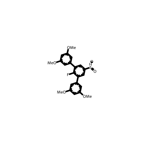 COc1cc(OC)cc(-c2cc([SH](=O)=O)cc(-c3cc(OC)cc(OC)c3)c2F)c1